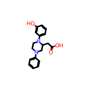 O=C(O)CC1CN(c2ccccc2)CCN1c1cccc(O)c1